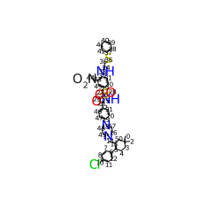 CC1(C)CCC(c2ccc(Cl)cc2)=C(CN2CCN(c3ccc(C(=O)NS(=O)(=O)c4ccc(NCCSc5ccccc5)c([N+](=O)[O-])c4)cc3)CC2)C1